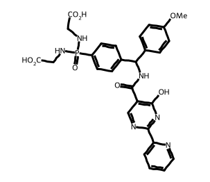 COc1ccc(C(NC(=O)c2cnc(-c3ccccn3)nc2O)c2ccc(P(=O)(NCC(=O)O)NCC(=O)O)cc2)cc1